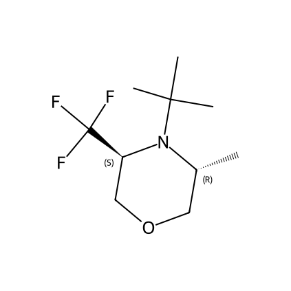 C[C@@H]1COC[C@@H](C(F)(F)F)N1C(C)(C)C